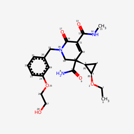 CCO[C@@H]1C[C@@H]1C1(C(N)=O)C=C(C(=O)NC)C(=O)N(Cc2cccc(OCCO)c2)C1